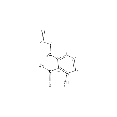 C=CCOc1cccc(O)c1S(=O)O